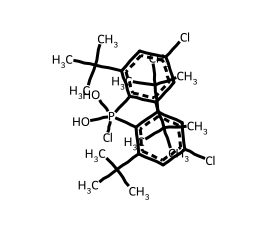 CC(C)(C)c1cc(Cl)cc(C(C)(C)C)c1P(O)(O)(Cl)c1c(C(C)(C)C)cc(Cl)cc1C(C)(C)C